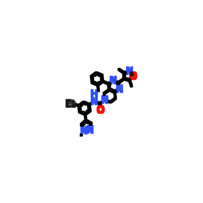 CCc1cc(NC(=O)N2CCc3nc(-c4c(C)noc4C)nc(-c4ccccc4C)c3C2)cc(-c2cnn(C)c2)c1